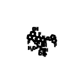 C#Cc1c(F)ccc2cc(O)cc(-c3nc4c5c(nc(OC[C@@]67CCCN6C[C@H](F)C7)nc5c3F)N[C@H]([C@H](CC)NC3CC3)[C@@H](CC)C4)c12